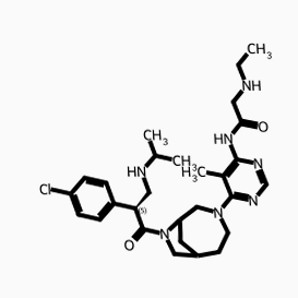 CCNCC(=O)Nc1ncnc(N2CCC3CC(C2)N(C(=O)[C@H](CNC(C)C)c2ccc(Cl)cc2)C3)c1C